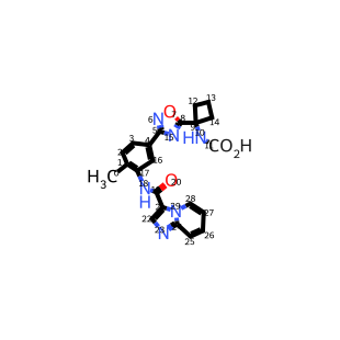 Cc1ccc(-c2noc(C3(NC(=O)O)CCC3)n2)cc1NC(=O)c1cnc2ccccn12